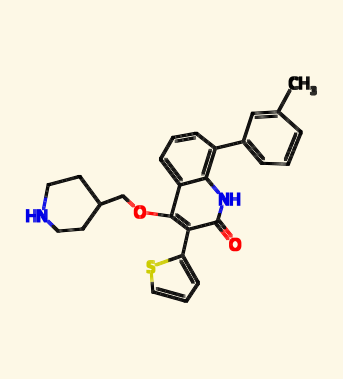 Cc1cccc(-c2cccc3c(OCC4CCNCC4)c(-c4cccs4)c(=O)[nH]c23)c1